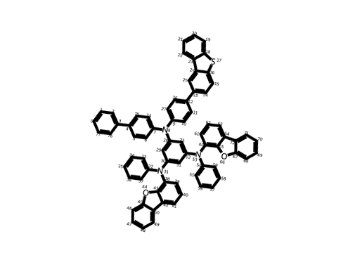 c1ccc(-c2ccc(N(c3ccc(-c4ccc5sc6ccccc6c5c4)cc3)c3cc(N(c4ccccc4)c4cccc5c4oc4ccccc45)cc(N(c4ccccc4)c4cccc5c4oc4ccccc45)c3)cc2)cc1